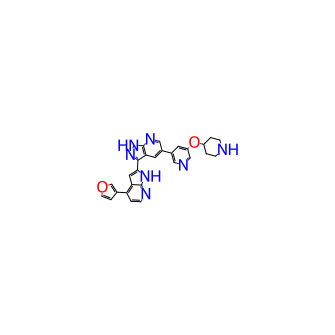 c1cc(-c2ccoc2)c2cc(-c3n[nH]c4ncc(-c5cncc(OC6CCNCC6)c5)cc34)[nH]c2n1